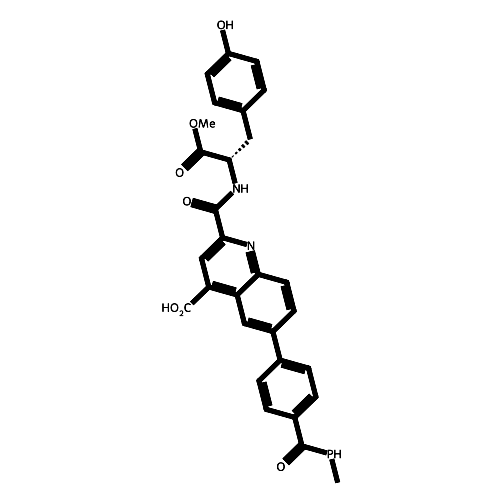 COC(=O)[C@H](Cc1ccc(O)cc1)NC(=O)c1cc(C(=O)O)c2cc(-c3ccc(C(=O)PC)cc3)ccc2n1